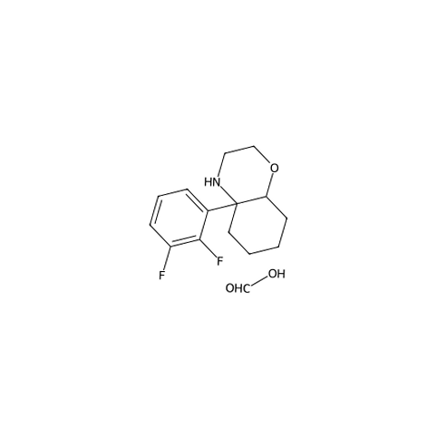 Fc1cccc(C23CCCCC2OCCN3)c1F.O=CO